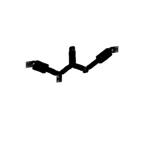 C#CNC(=O)OC#C